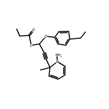 CCC(=O)OC(C#CC1(C)C=CC=CN1N)Oc1ccc(CC)cc1